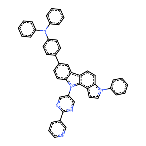 c1ccc(N(c2ccccc2)c2ccc(-c3ccc4c(c3)c3ccc5c(ccn5-c5ccccc5)c3n4-c3cnc(-c4cccnc4)nc3)cc2)cc1